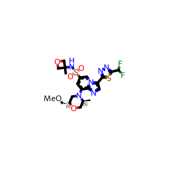 COC[C@@H]1CN(c2cc(S(=O)(=O)NC3(C)COC3)cn3c(-c4nnc(C(F)F)s4)cnc23)[C@@H](C)CO1